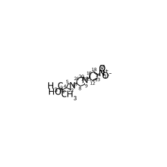 CC(C)(O)C1CN(C2CCN(c3ccc([N+](=O)[O-])cc3)CC2)C1